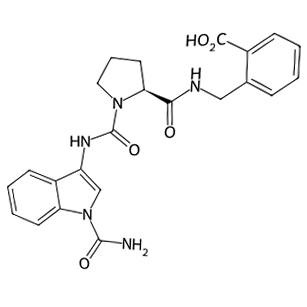 NC(=O)n1cc(NC(=O)N2CCC[C@H]2C(=O)NCc2ccccc2C(=O)O)c2ccccc21